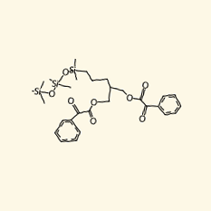 C[Si](C)(C)O[Si](C)(C)O[Si](C)(C)CCCC(COC(=O)C(=O)c1ccccc1)COC(=O)C(=O)c1ccccc1